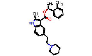 Cc1ccccc1C(C)OC(=O)c1c(C)[nH]c2ccc(CCN3CCCCC3)cc12